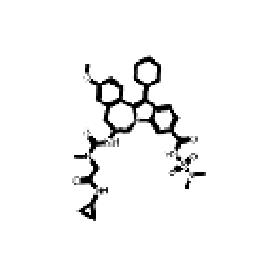 COc1ccc2c(c1)CC(NC(=O)N(C)CC(=O)NC1CC1)Cn1c-2c(C2CCCCC2)c2ccc(C(=O)NS(=O)(=O)N(C)C)cc21